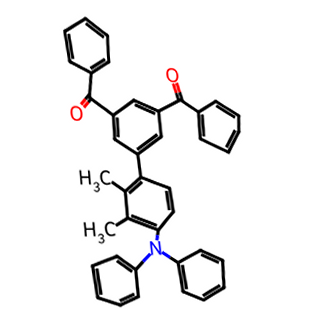 Cc1c(-c2cc(C(=O)c3ccccc3)cc(C(=O)c3ccccc3)c2)ccc(N(c2ccccc2)c2ccccc2)c1C